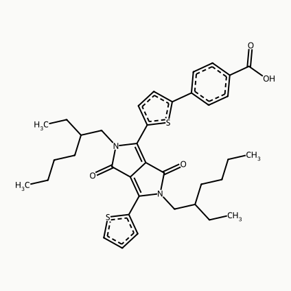 CCCCC(CC)CN1C(=O)C2=C(c3ccc(-c4ccc(C(=O)O)cc4)s3)N(CC(CC)CCCC)C(=O)C2=C1c1cccs1